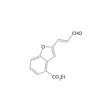 CCOC(=O)c1cccc2oc(C=CC=O)cc12